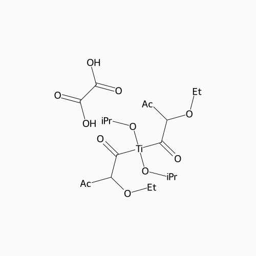 CCOC(C(C)=O)[C](=O)[Ti]([O]C(C)C)([O]C(C)C)[C](=O)C(OCC)C(C)=O.O=C(O)C(=O)O